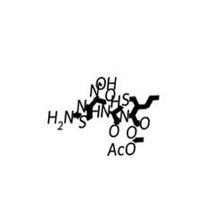 C/C=C/C1=C(C(=O)OC(C)OC(C)=O)N2C(=O)[C@@H](NC(=O)/C(=N\O)c3csc(N)n3)[C@H]2SC1